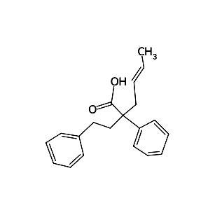 CC=CCC(CCc1ccccc1)(C(=O)O)c1ccccc1